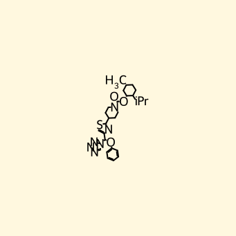 CC1CCC(C(C)C)C(OC(=O)N2CCC(c3nc(C(Oc4ccccc4)n4cnnn4)cs3)CC2)C1